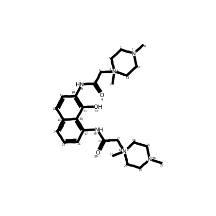 CN1CC[N+](C)(CC(=O)Nc2ccc3cccc(NC(=O)C[N+]4(C)CCN(C)CC4)c3c2O)CC1